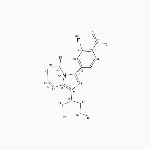 C=C(C)c1ccc(-c2cc(C(CC)CCC)c(/C=C\C)n2C(C)C)cc1F